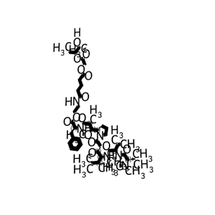 CCC(CO)OC(COC(=O)CCCC(=O)NCCOC(=O)[C@H](Cc1ccccc1)NC(=O)[C@H](C)[C@@H](OC)[C@@H]1CCCN1C(=O)C[C@@H](OC)[C@H]([C@@H](C)CC)N(C)C(=O)[C@@H](NC(=O)[C@H](C(C)C)N(C)C)C(C)C)OC